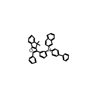 CC1(C)c2ccccc2-c2oc(-c3ccccc3)c(-c3cccc(N(c4ccc(-c5ccccc5)cc4)c4ccc5ccccc5c4)c3)c21